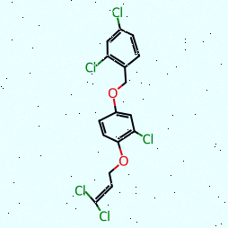 ClC(Cl)=CCOc1ccc(OCc2ccc(Cl)cc2Cl)cc1Cl